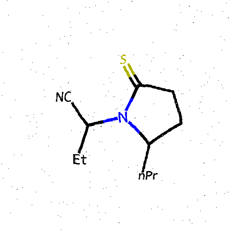 CCCC1CCC(=S)N1C(C#N)CC